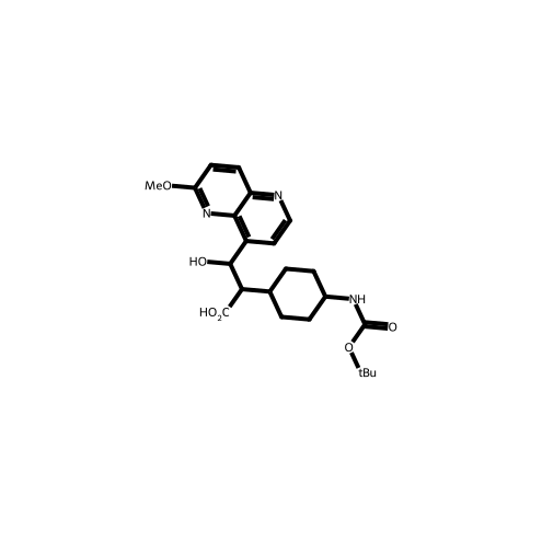 COc1ccc2nccc(C(O)C(C(=O)O)C3CCC(NC(=O)OC(C)(C)C)CC3)c2n1